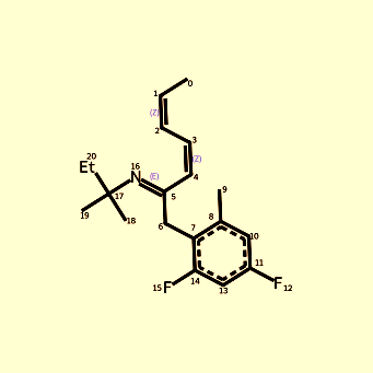 C\C=C/C=C\C(Cc1c(C)cc(F)cc1F)=N\C(C)(C)CC